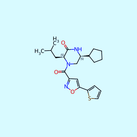 CC(C)C[C@H]1C(=O)N[C@@H](C2CCCC2)CN1C(=O)c1cc(-c2cccs2)on1